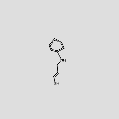 SC=CCNc1ccccc1